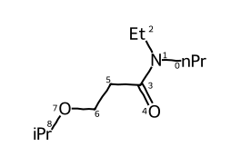 CCCN(CC)C(=O)CCOC(C)C